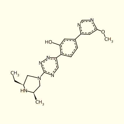 CC[C@H]1CN(c2ncc(-c3ccc(-c4cc(OC)ncn4)cc3O)nn2)C[C@@H](C)N1